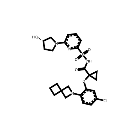 O=C(NS(=O)(=O)c1cccc(N2CC[C@H](O)C2)n1)C1(Oc2cc(Cl)ccc2N2CC3(CCC3)C2)CC1